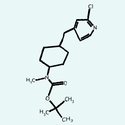 CN(C(=O)OC(C)(C)C)C1CCC(Cc2ccnc(Cl)c2)CC1